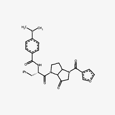 CC(C)C[C@H](NC(=O)c1ccc(N(C)C)cc1)C(=O)N1CCC2C1C(=O)CN2C(=O)c1ccoc1